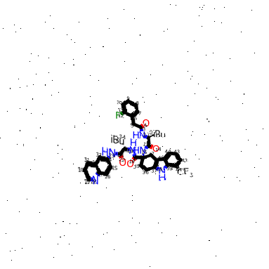 CCC(C)[C@H](NC(=O)Cc1ccccc1F)C(=O)N[C@]1(C(=O)NC(C(=O)Nc2ccc3ncccc3c2)[C@H](C)CC)CCc2[nH]c3c(C(F)(F)F)cccc3c2C1